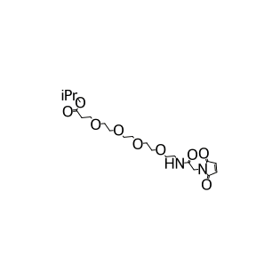 CC(C)OC(=O)CCOCCOCCOCCOCCNC(=O)CN1C(=O)C=CC1=O